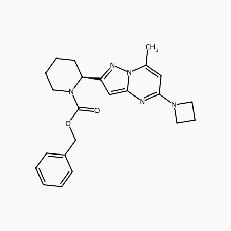 Cc1cc(N2CCC2)nc2cc([C@@H]3CCCCN3C(=O)OCc3ccccc3)nn12